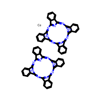 [Ce].c1ccc2c(c1)-c1nc-2nc2[nH]c(nc3nc(nc4[nH]c(n1)c1ccccc41)-c1ccccc1-3)c1ccccc21.c1ccc2c(c1)-c1nc-2nc2[nH]c(nc3nc(nc4[nH]c(n1)c1ccccc41)-c1ccccc1-3)c1ccccc21